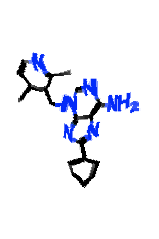 Cc1ccnc(C)c1Cn1cnc(N)c2nc(-c3ccccc3)nc1-2